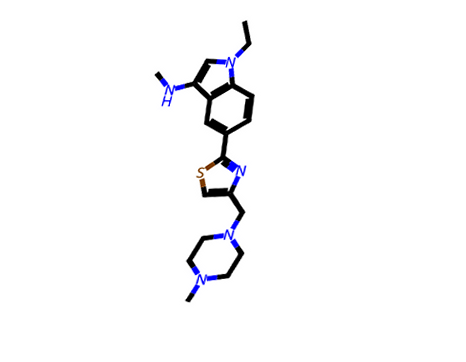 CCn1cc(NC)c2cc(-c3nc(CN4CCN(C)CC4)cs3)ccc21